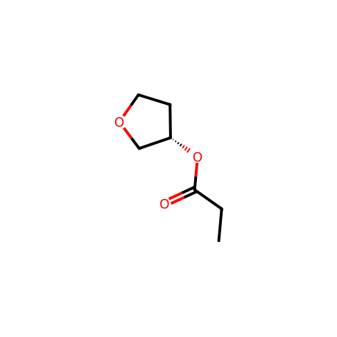 CCC(=O)O[C@H]1CCOC1